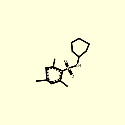 Cc1cc(C)c(S(=O)(=O)NC2CCCCC2)c(C)c1